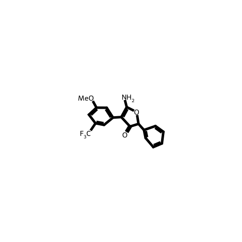 COc1cc(C2=C(N)OC(c3ccccc3)C2=O)cc(C(F)(F)F)c1